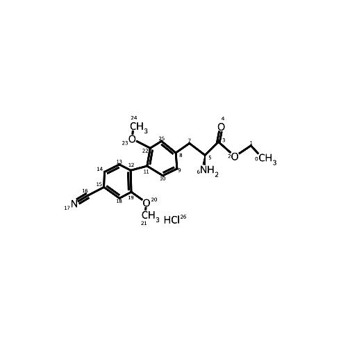 CCOC(=O)[C@@H](N)Cc1ccc(-c2ccc(C#N)cc2OC)c(OC)c1.Cl